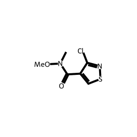 CON(C)C(=O)c1csnc1Cl